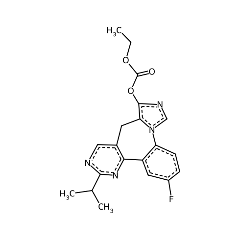 CCOC(=O)Oc1ncn2c1Cc1cnc(C(C)C)nc1-c1cc(F)ccc1-2